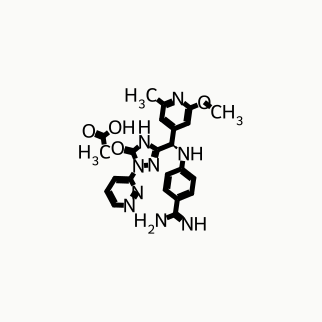 CC(=O)O.COc1cc([C@H](Nc2ccc(C(=N)N)cc2)c2nn(-c3cccnn3)c(=O)[nH]2)cc(C)n1